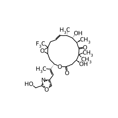 C/C(=C\c1coc(CO)n1)[C@@H]1CC2OC2(C(F)(F)F)C/C=C/[C@H](C)[C@H](O)[C@@H](C)C(=O)C(C)(C)[C@@H](O)CC(=O)O1